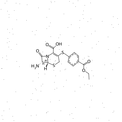 CCOC(=O)c1ccc(SC2=C(C(=O)O)N3C(=O)[C@@H](N)[C@H]3SC2)cc1